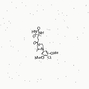 COc1cc(N2CCN(C(=O)CCC3(C)NC(=O)NC3=O)C[C@@H]2C)cc(OC)c1Cl